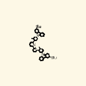 Cc1cc(-n2c3ccccc3c3cc(C(C)(C)C)ccc32)ccc1-c1cccc(-c2cccc(-c3cc(-n4c5ccccc5c5cc(C(C)(C)C)ccc54)ccc3C)n2)n1